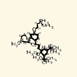 COc1c(C=CC(=O)c2ccc(OCCN(C)C)cc2N2CCN(C)CC2)cc(C(C)(C)C)cc1C(C)(C)C